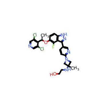 C[C@@H](Oc1ccc2[nH]nc(-c3ccc(N4CC(C)(NCCO)C4)nc3)c2c1F)c1c(Cl)cncc1Cl